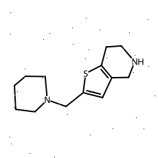 c1c(CN2CCCCC2)sc2c1CNCC2